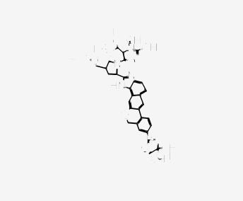 COCC1CC(c2nc3ccc4cc5c(cc4c3[nH]2)OCc2cc(B3OC(C)(C)C(C)(C)O3)ccc2-5)N(C(=O)C(C(C)OC)N(C)C(=O)O)C1